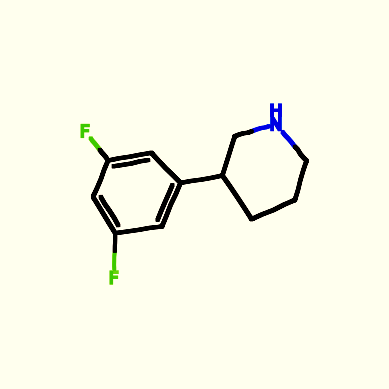 Fc1cc(F)cc(C2CCCNC2)c1